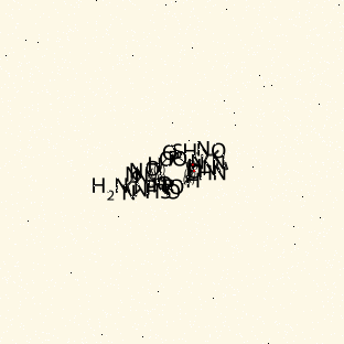 Nc1ncnc2c1nnn2[C@@H]1O[C@@H]2COP(=O)(S)OC3[C@H](n4cnc5c(=O)n6cc[nH]c6nc54)O[C@H](COP(=O)(S)O[C@H]2[C@@H]1F)[C@H]3F